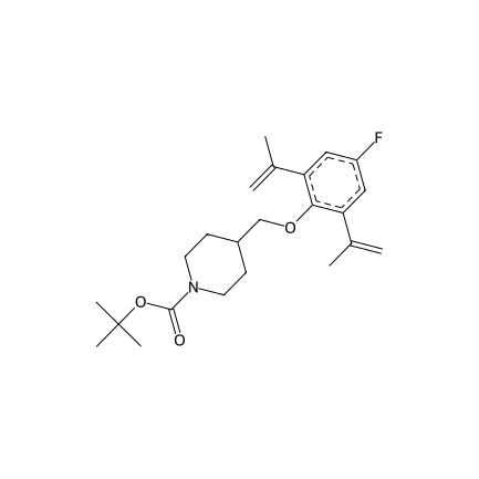 C=C(C)c1cc(F)cc(C(=C)C)c1OCC1CCN(C(=O)OC(C)(C)C)CC1